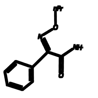 CCCON=C(C([NH])=O)c1ccccc1